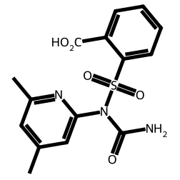 Cc1cc(C)nc(N(C(N)=O)S(=O)(=O)c2ccccc2C(=O)O)c1